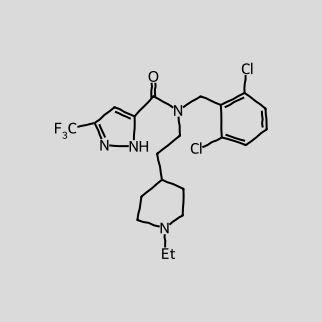 CCN1CCC(CCN(Cc2c(Cl)cccc2Cl)C(=O)c2cc(C(F)(F)F)n[nH]2)CC1